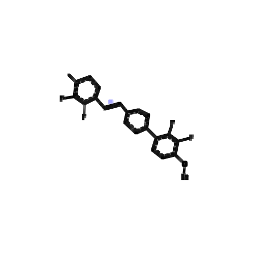 CCOc1ccc(-c2ccc(/C=C/c3ccc(C)c(F)c3F)cc2)c(F)c1F